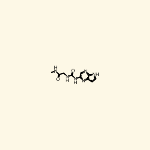 CNC(=O)CNC(=O)Nc1cnc2[nH]ccc2n1